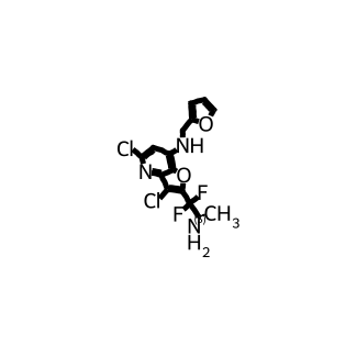 C[C@H](N)C(F)(F)c1oc2c(NCc3ccco3)cc(Cl)nc2c1Cl